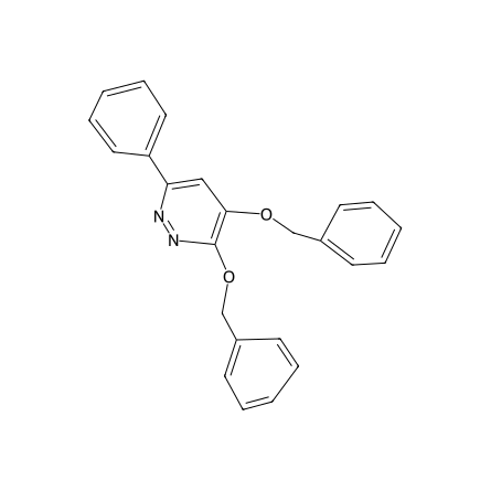 c1ccc(COc2cc(-c3ccccc3)nnc2OCc2ccccc2)cc1